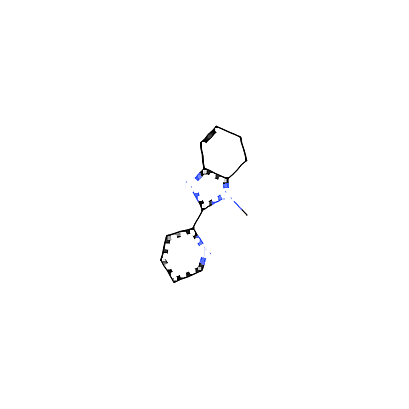 Cn1c(-c2ccccn2)nc2c1CCC=C2